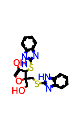 OCC1(CSc2nc3ccccc3[nH]2)OC=C(O)C1Sc1nc2ccccc2[nH]1